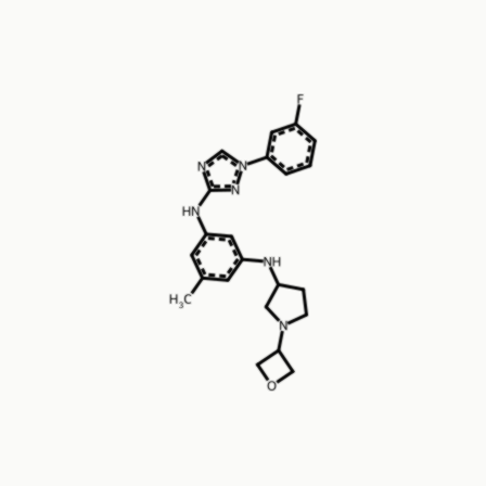 Cc1cc(Nc2ncn(-c3cccc(F)c3)n2)cc(NC2CCN(C3COC3)C2)c1